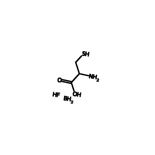 B.F.NC(CS)C(=O)O